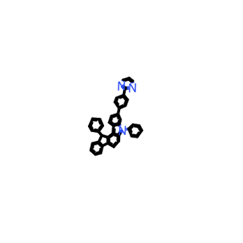 c1ccc(C2c3ccccc3-c3ccc4c(c32)c2ccc(-c3ccc(-c5ncccn5)cc3)cc2n4-c2ccccc2)cc1